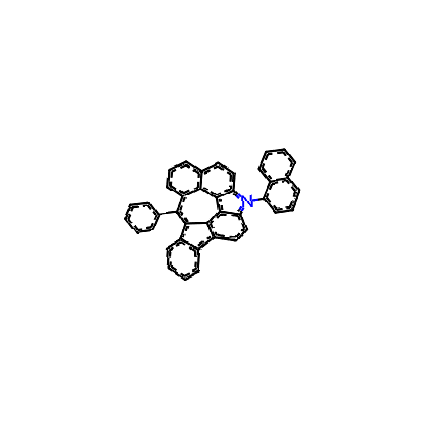 c1ccc(-c2c3c4ccccc4c4ccc5c(c4-3)c3c4c(cccc24)ccc3n5-c2cccc3ccccc23)cc1